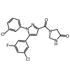 O=C1CN(C(=O)c2cc(-c3cc(F)cc(Cl)c3)n(-c3cccc(Cl)c3)n2)CN1